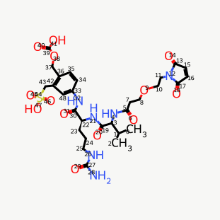 CC(C)C(NC(=O)CCOCCN1C(=O)C=CC1=O)C(=O)N[C@@H](CCCNC(N)=O)C(=O)Nc1ccc(COC(=O)O)c(CS(=O)(=O)O)c1